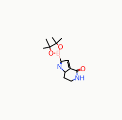 CC1(C)OB(C2=NC3CCNC(=O)C3=C2)OC1(C)C